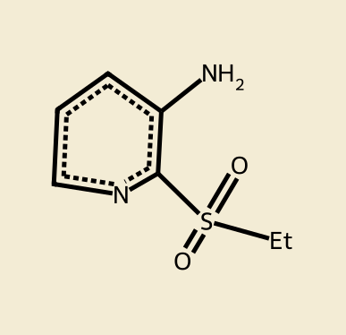 CCS(=O)(=O)c1ncccc1N